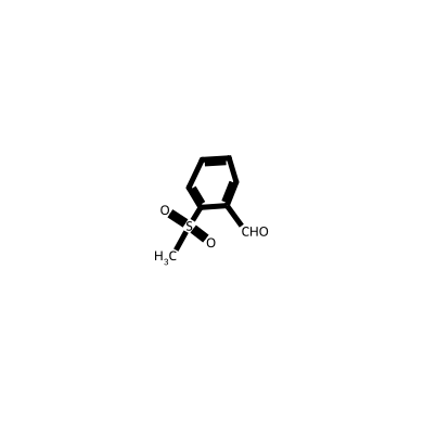 CS(=O)(=O)c1ccccc1C=O